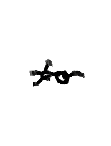 CCc1nn(-c2ccc(OC)cc2)c(CC)c1O